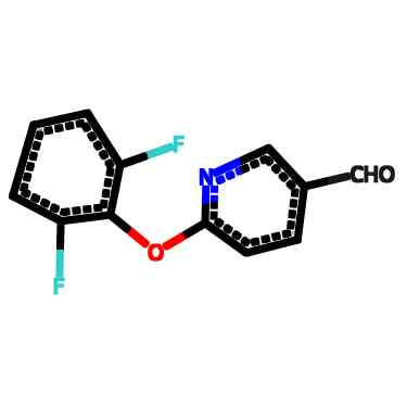 O=Cc1ccc(Oc2c(F)cccc2F)nc1